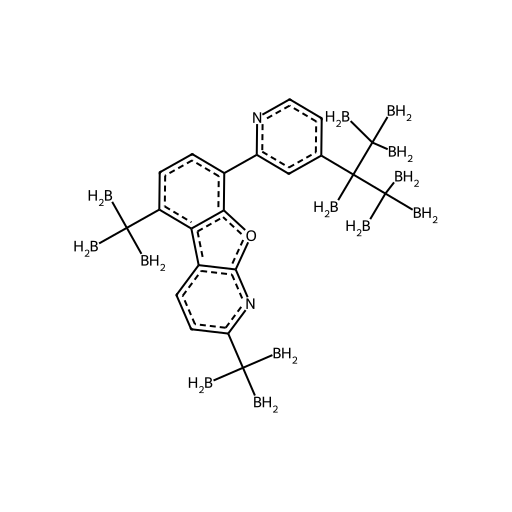 BC(B)(B)c1ccc2c(n1)oc1c(-c3cc(C(B)(C(B)(B)B)C(B)(B)B)ccn3)ccc(C(B)(B)B)c12